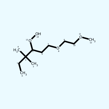 CCC(C)(C)C(CCOCCOC)OO